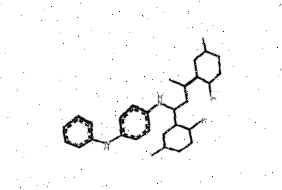 CC1CCC(C(C)C)C(C(C)CC(Nc2ccc(Nc3ccccc3)cc2)C2CC(C)CCC2C(C)C)C1